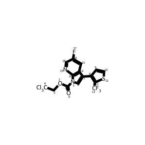 O=C(OCC(Cl)(Cl)Cl)n1cc(-c2ccsc2C(F)(F)F)c2cc(F)cnc21